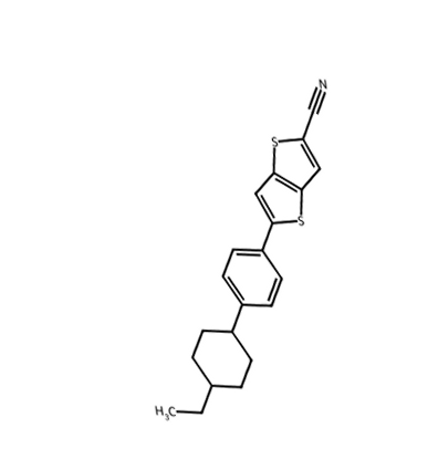 CCC1CCC(c2ccc(-c3cc4sc(C#N)cc4s3)cc2)CC1